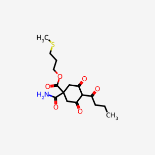 CCCC(=O)C1C(=O)CC(C(N)=O)(C(=O)OCCCSC)CC1=O